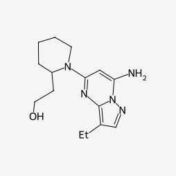 CCc1cnn2c(N)cc(N3CCCCC3CCO)nc12